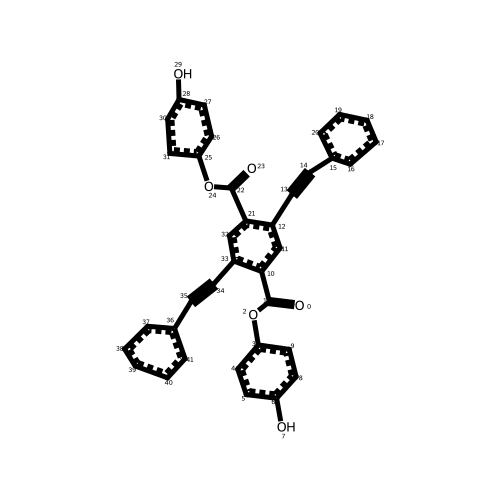 O=C(Oc1ccc(O)cc1)c1cc(C#Cc2ccccc2)c(C(=O)Oc2ccc(O)cc2)cc1C#Cc1ccccc1